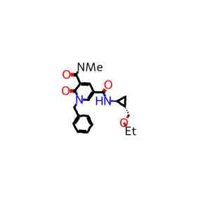 CCOC[C@H]1C[C@@H]1NC(=O)c1cc(C(=O)NC)c(=O)n(Cc2ccccc2)c1